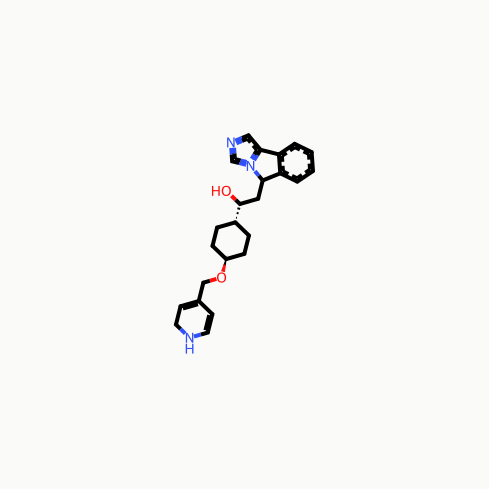 OC(CC1c2ccccc2-c2cncn21)[C@H]1CC[C@H](OCC2=CCNC=C2)CC1